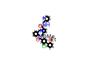 CCOc1ccccc1-c1cc(OC)c(C(=O)N2Cc3ccc(C(=O)NCc4ccccn4)n3Cc3ccccc32)cc1Cl